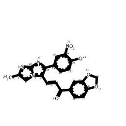 Cc1cn2c(/C=C/C(=O)c3ccc4c(c3)OCO4)c(-c3ccc(Cl)c([N+](=O)[O-])c3)nc2s1